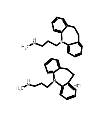 CNCCCN1c2ccccc2CCc2ccccc21.CNCCCN1c2ccccc2CCc2ccccc21.Cl